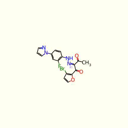 CC(=O)/C(=N\Nc1ccc(-n2cccn2)cc1F)C(=O)c1occc1Br